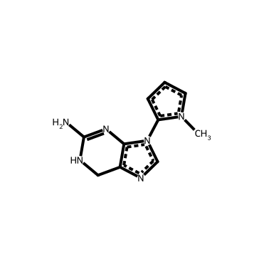 Cn1cccc1-n1cnc2c1N=C(N)NC2